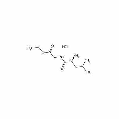 CCOC(=O)CNC(=O)[C@@H](N)CC(C)C.Cl